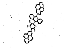 Fc1c(F)c(-c2c3ccccc3c(-c3cc4ccc5cccc6ccc(c3)c4c56)c3ccccc23)c(F)c(F)c1-c1cc2ccc3cccc4ccc(c1)c2c34